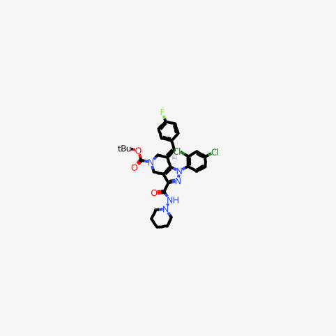 CC(C)(C)OC(=O)N1C/C(=C\c2ccc(F)cc2)c2c(c(C(=O)NN3CCCCC3)nn2-c2ccc(Cl)cc2Cl)C1